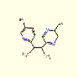 CC(C)c1ccc(C(C)C(C)C2=NCC(C(C)C)N=C2)nc1